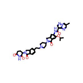 Cc1cnc2c(C(=O)Nc3cc4c(cc3OC(C)C)C(=O)N(C3CCN(CCc5ccc6c(c5)CN(C5CCC(=O)NC5=O)C6=O)CC3)C4)cnn2c1